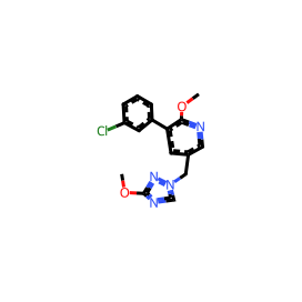 COc1ncn(Cc2cnc(OC)c(-c3cccc(Cl)c3)c2)n1